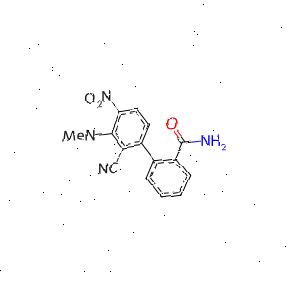 CNc1c([N+](=O)[O-])ccc(-c2ccccc2C(N)=O)c1C#N